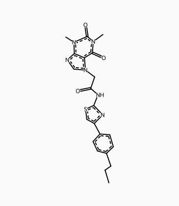 CCCc1ccc(-c2csc(NC(=O)Cn3cnc4c3c(=O)n(C)c(=O)n4C)n2)cc1